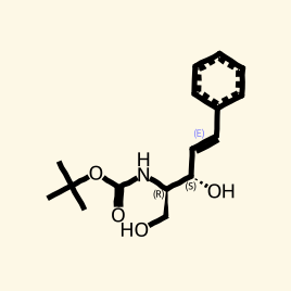 CC(C)(C)OC(=O)N[C@H](CO)[C@@H](O)/C=C/c1ccccc1